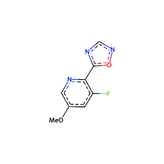 COc1cnc(-c2ncno2)c(F)c1